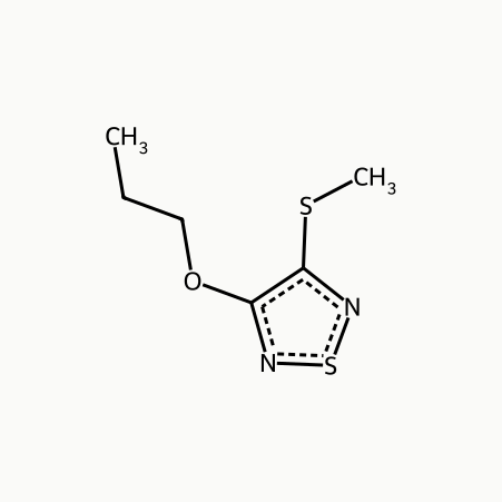 CCCOc1nsnc1SC